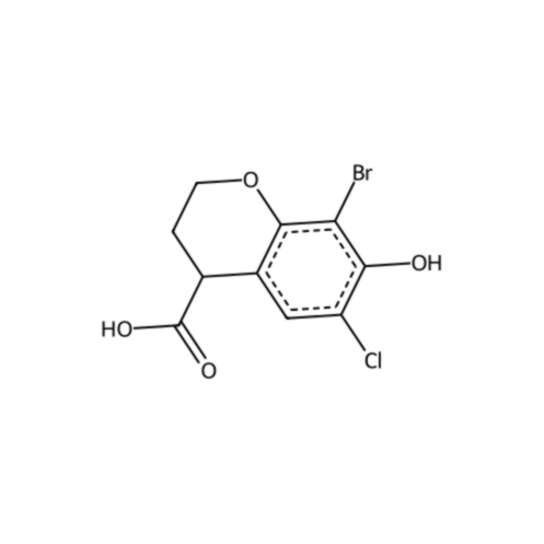 O=C(O)C1CCOc2c1cc(Cl)c(O)c2Br